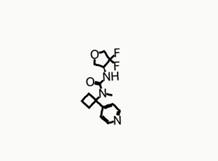 CN(C(=O)N[C@H]1COCC1(F)F)C1(c2ccncc2)CCC1